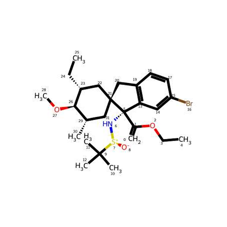 C=C(OCC)[C@]1(N[S@@+]([O-])C(C)(C)C)c2cc(Br)ccc2C[C@@]12C[C@@H](CC)[C@H](OC)[C@@H](C)C2